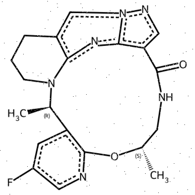 C[C@@H]1c2cc(F)cnc2O[C@@H](C)CNC(=O)c2cnn3cc4c(nc23)N1CCC4